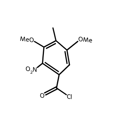 COc1cc(C(=O)Cl)c([N+](=O)[O-])c(OC)c1C